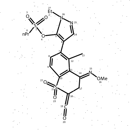 CCCS(=O)(=O)Oc1c(-c2ccc3c(c2C)C(=NOC)CC(=C=O)S3(=O)=O)cnn1CC